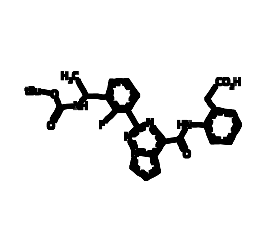 CC(NC(=O)OC(C)(C)C)c1cccc(-c2nc(C(=O)Nc3ccccc3CC(=O)O)c3cccn3n2)c1F